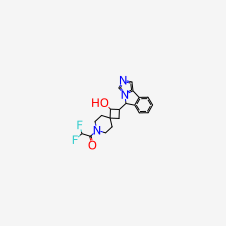 O=C(C(F)F)N1CCC2(CC1)CC(C1c3ccccc3-c3cncn31)C2O